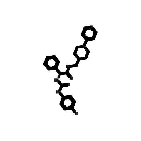 O=C(Nc1ccc(Cl)cc1)N[C@@H](C(=O)NCC1CCN(c2ccncc2)CC1)c1ccccc1